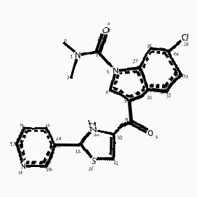 CN(C)C(=O)n1cc(C(=O)C2=CSC(c3cccnc3)N2)c2ccc(Cl)cc21